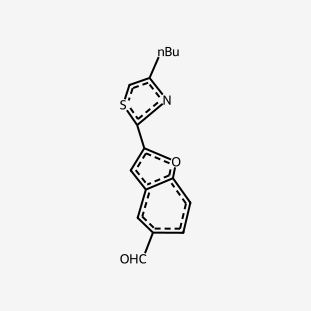 CCCCc1csc(-c2cc3cc(C=O)ccc3o2)n1